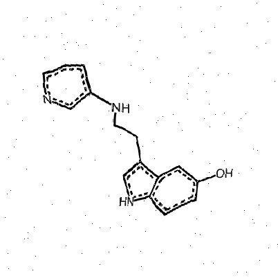 Oc1ccc2[nH]cc(CCNc3cccnc3)c2c1